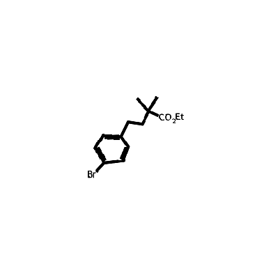 CCOC(=O)C(C)(C)CCc1ccc(Br)cc1